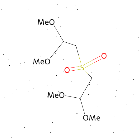 COC(CS(=O)(=O)CC(OC)OC)OC